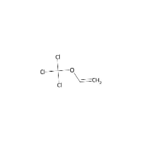 C=COC(Cl)(Cl)Cl